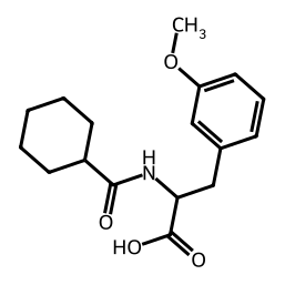 COc1cccc(CC(NC(=O)C2CCCCC2)C(=O)O)c1